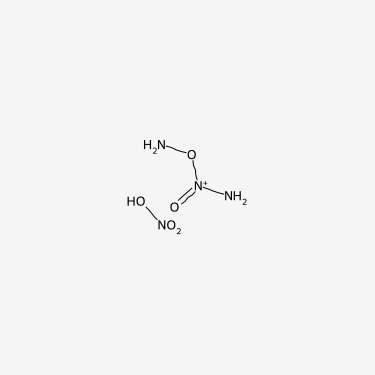 NO[N+](N)=O.O=[N+]([O-])O